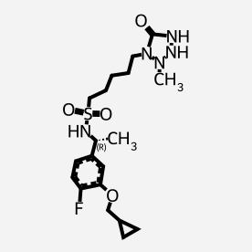 C[C@@H](NS(=O)(=O)CCCCCN1C(=O)NNN1C)c1ccc(F)c(OCC2CC2)c1